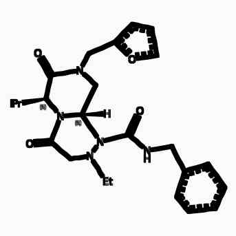 CCN1CC(=O)N2[C@@H](C(C)C)C(=O)N(Cc3ccco3)C[C@@H]2N1C(=O)NCc1ccccc1